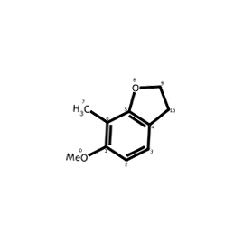 COc1ccc2c(c1C)OCC2